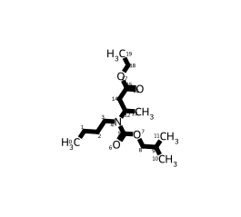 CCCCN(C(=O)OCC(C)C)C(C)CC(=O)OCC